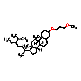 CC[C@H](CC[C@@H](C)[C@H]1CC[C@H]2[C@@H]3CC=C4C[C@@H](OCCCOC)CC[C@]4(C)[C@H]3CC[C@]12C)C(C)C